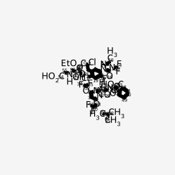 CCOC(=O)C(Cl)Cc1cc(-n2nc(C)n(C(F)F)c2=O)c(F)cc1Cl.C[S+](C)C.O=C(Nc1nc(OC(F)F)cc(OC(F)F)n1)NS(=O)(=O)c1ccccc1C(=O)O.O=C(O)CNCP(=O)([O-])O